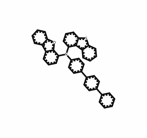 c1ccc(-c2ccc(-c3ccc(N(c4cccc5c4oc4ccccc45)c4cccc5sc6ccccc6c45)cc3)cc2)cc1